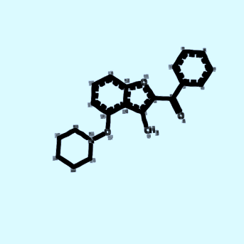 Cc1c(C(=O)c2ccccc2)oc2cccc(ON3CCCCC3)c12